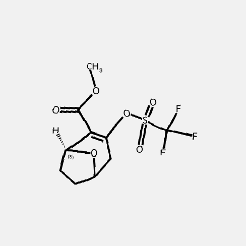 COC(=O)C1=C(OS(=O)(=O)C(F)(F)F)CC2CC[C@@H]1O2